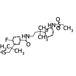 CCS(=O)(=O)Nc1cccc(C(C)(C)CCNC(=O)c2ccc(F)c(C(C)(C)CS)c2)c1